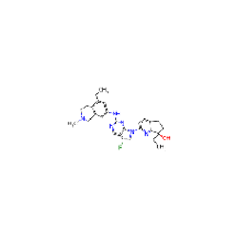 CCc1cc(Nc2ncc3c(F)cn(-c4ccc5c(n4)[C@@](O)(CC)CC5)c3n2)cc2c1CCN(C)C2